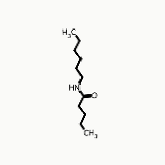 CCCCCCNC(=O)CCCC